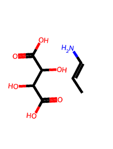 CC=CN.O=C(O)C(O)C(O)C(=O)O